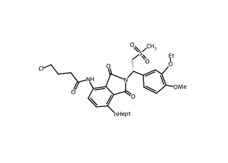 CCCCCCCc1ccc(NC(=O)CCCCl)c2c1C(=O)N([C@H](CS(C)(=O)=O)c1ccc(OC)c(OCC)c1)C2=O